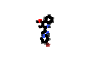 COc1c(C)c(-c2cn3ccc(Br)cc3n2)nc2ccccc12